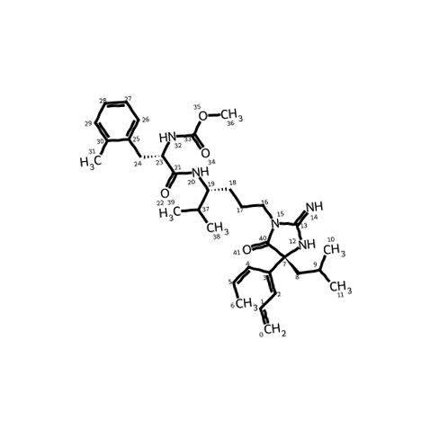 C=C/C=C(\C=C/C)[C@@]1(CC(C)C)NC(=N)N(CCC[C@@H](NC(=O)[C@H](Cc2ccccc2C)NC(=O)OC)C(C)C)C1=O